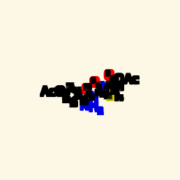 CC(=O)OC(=O)[C@H]1N2C(=O)[C@H](NC(=O)[C@H](N)c3ccc(OC(C)=O)cc3)C2SC1(C)C